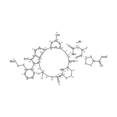 C=CC(=O)N1CC[C@H](C(=O)N(C)[C@H](C(=O)N[C@H]2Cc3cc(O)cc(c3)-c3cnc4c(c3)c(c(-c3ccccc3CCOC)n4CC)CC(C)(C)COC(=O)[C@@H]3CCCN(N3)C2=O)C(C)C)C1